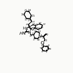 C=C(COc1ccccc1)N1CCC(CN2C(=N)NC(CCC3CCCCC3)(CC3CCCCC3)C2=O)CC1